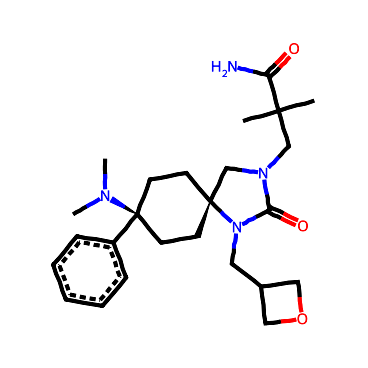 CN(C)[C@]1(c2ccccc2)CC[C@@]2(CC1)CN(CC(C)(C)C(N)=O)C(=O)N2CC1COC1